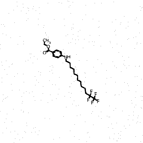 CCOC(=O)c1ccc(NCCCCCCCCCCCC(F)(F)C(F)(F)F)cc1